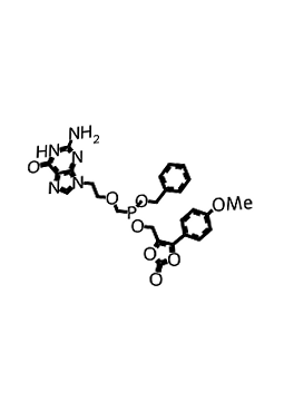 COc1ccc(-c2oc(=O)oc2COP(COCCn2cnc3c(=O)[nH]c(N)nc32)OCc2ccccc2)cc1